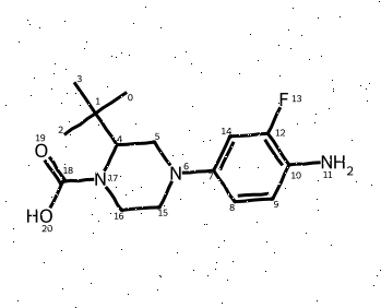 CC(C)(C)C1CN(c2ccc(N)c(F)c2)CCN1C(=O)O